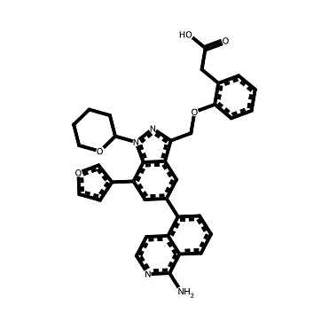 Nc1nccc2c(-c3cc(-c4ccoc4)c4c(c3)c(COc3ccccc3CC(=O)O)nn4C3CCCCO3)cccc12